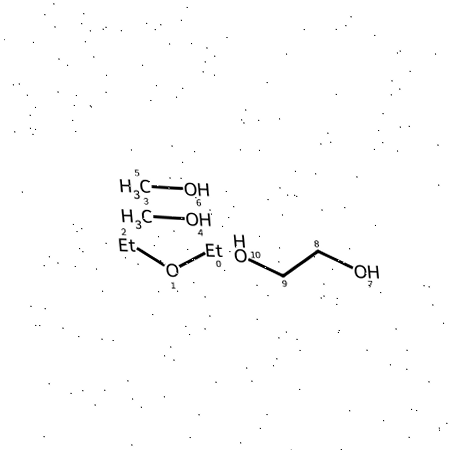 CCOCC.CO.CO.OCCO